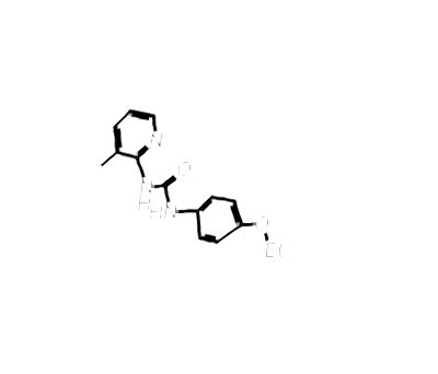 CCOc1ccc(NC(=O)Nc2ncccc2C)cc1